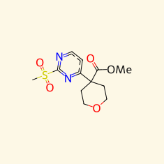 COC(=O)C1(c2ccnc(S(C)(=O)=O)n2)CCOCC1